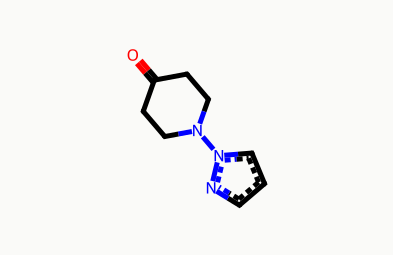 O=C1CCN(n2cccn2)CC1